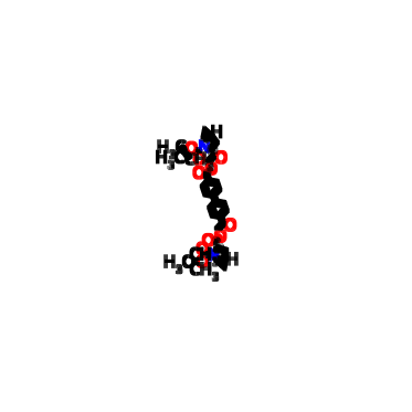 CC(C)(C)OC(=O)N1C2C[C@H]2C[C@H]1C(=O)COC(=O)c1ccc(-c2ccc(C(=O)COC(=O)[C@@H]3C[C@@H]4CC4N3C(=O)OC(C)(C)C)cc2)cc1